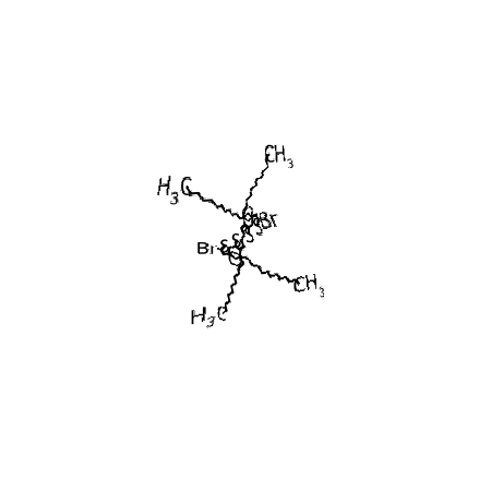 CCCCCCCCCCCCC1(CCCCCCCCCCCC)Oc2cc(Br)sc2-c2sc(-c3cc4c(s3)-c3sc(Br)cc3OC4(CCCCCCCCCCCC)CCCCCCCCCCCC)cc21